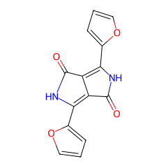 O=C1NC(c2ccco2)=C2C(=O)NC(c3ccco3)=C12